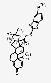 COc1ccc2sc(SCC(=O)[C@@]3(OC(C)(C)O)C(C)CC4C5CCC6=CC(=O)C=CC6(C)C5[C@@H](O)CC43C)nc2c1